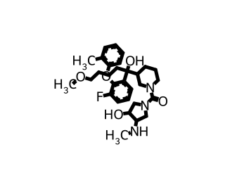 CNC1CN(C(=O)N2CCCC(C(O)(CCCCOC)c3cccc(F)c3Oc3ccccc3C)C2)CC1O